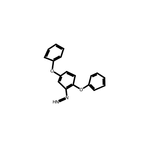 N=Nc1cc(Oc2ccccc2)ccc1Oc1ccccc1